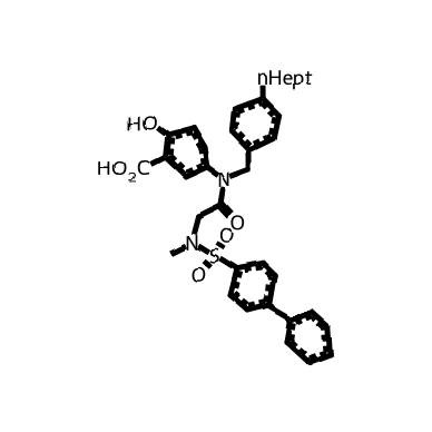 CCCCCCCc1ccc(CN(C(=O)CN(C)S(=O)(=O)c2ccc(-c3ccccc3)cc2)c2ccc(O)c(C(=O)O)c2)cc1